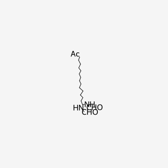 CC(=O)CCCCCCCCCCCCCCC(NC=O)NC=O